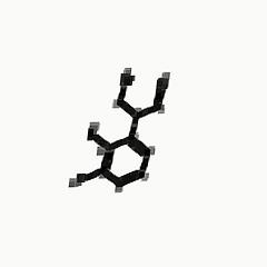 O=CC(CBr)c1cccc(F)c1F